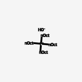 CCCCCCCC[P+](CCCCCCCC)(CCCCCCCC)CCCCCCCC.[OH-]